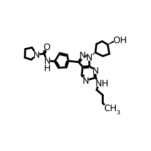 CCCCNc1ncc2c(-c3ccc(NC(=O)N4CCCC4)cc3)nn([C@H]3CC[C@H](O)CC3)c2n1